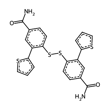 NC(=O)c1ccc(SSc2ccc(C(N)=O)cc2-c2cccs2)c(-c2cccs2)c1